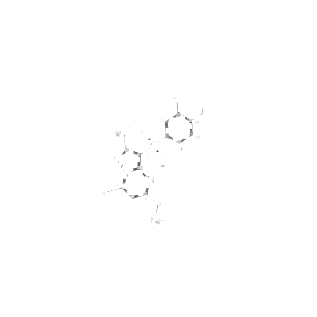 CNc1nn2c(C)cc(CN)nc2c1S(=O)(=O)c1ccc(F)c(Cl)c1